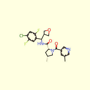 Cc1cncc(C(=O)N2C[C@H](C)C[C@@H]2C(=O)N[C@@H](c2cc(F)c(Cl)cc2F)C2COC2)c1